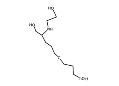 CCCCCCCCCCCCCCCC(CO)NCCO